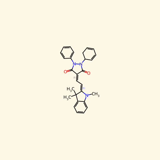 CN1/C(=C/C=C2/C(=O)N(c3ccccc3)N(C3C=CC=CC3)C2=O)C(C)(C)c2ccccc21